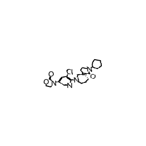 O=C1OCCN1c1cnc(N2CCC[C@@]3(CCN(C4CCCCC4)C3=O)C2)c(Cl)c1